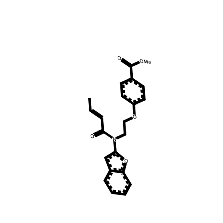 C/C=C/C(=O)N(CCOc1ccc(C(=O)OC)cc1)c1cc2ccccc2o1